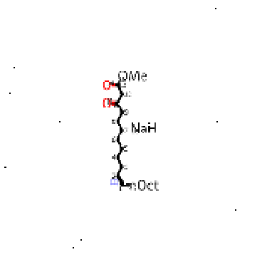 CCCCCCCC/C=C\CCCCCCCC(=O)CC(=O)OC.[NaH]